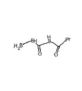 BBC(=O)BC(=O)C(C)C